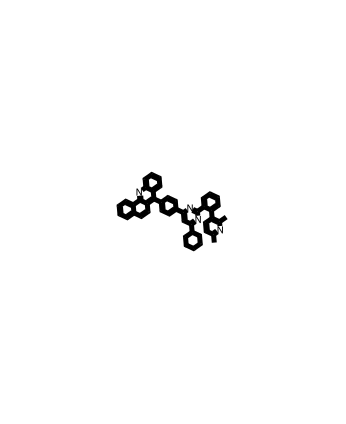 Cc1ccc(-c2ccccc2-c2nc(-c3ccc(-c4c5ccccc5nc5c4ccc4ccccc45)cc3)cc(C3CCCCC3)n2)c(C)n1